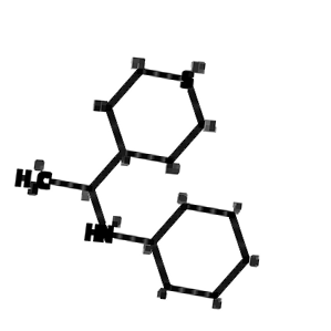 CC(NC1CCCCC1)C1CCSCC1